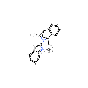 C[C@H]1C2CC(C)(c3ccccc32)N1c1cc2ccccc2n1C